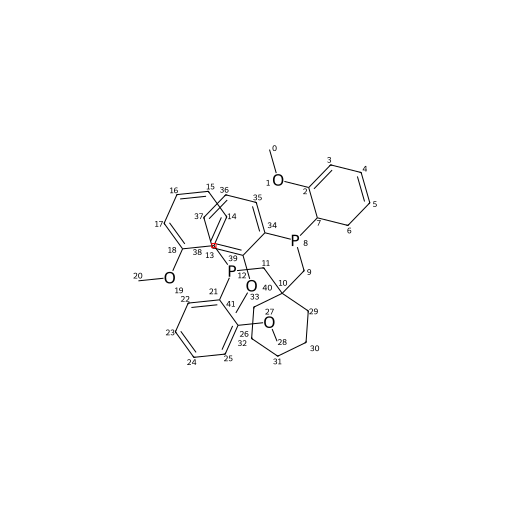 COC1=CC=CCC1P(CC1(CP(c2ccccc2OC)c2ccccc2OC)CCCCC1)c1ccccc1OC